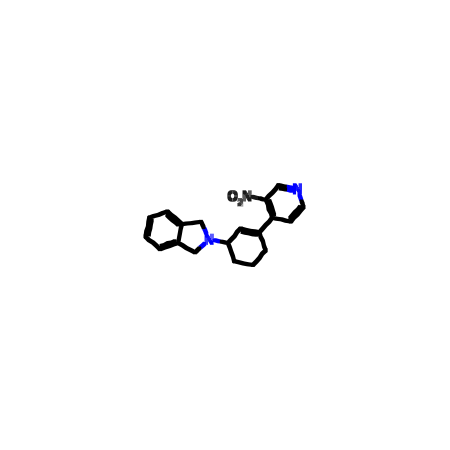 O=[N+]([O-])c1cnccc1C1=CC(N2Cc3ccccc3C2)CCC1